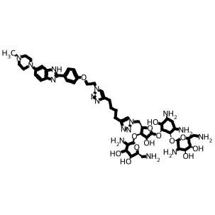 CN1CCN(c2ccc3nc(-c4ccc(OCCn5cc(CCCCc6cn(C[C@H]7OC(O[C@@H]8C(O)[C@H](N)CC(N)[C@@H]8O[C@@H]8OC(CN)[C@@H](O)[C@H](O)C8N)[C@@H](O)[C@H]7O[C@H]7O[C@@H](CN)[C@@H](O)C(O)C7N)nn6)nn5)cc4)[nH]c3c2)CC1